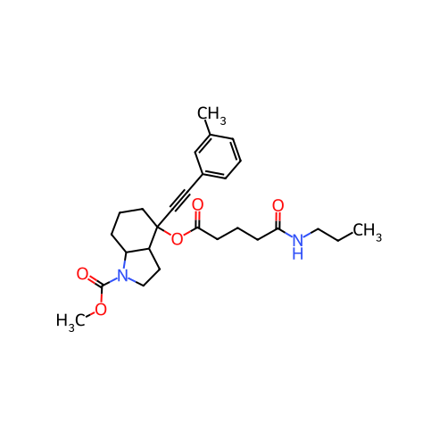 CCCNC(=O)CCCC(=O)OC1(C#Cc2cccc(C)c2)CCCC2C1CCN2C(=O)OC